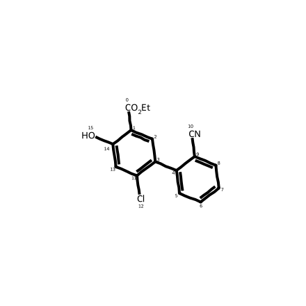 CCOC(=O)c1cc(-c2ccccc2C#N)c(Cl)cc1O